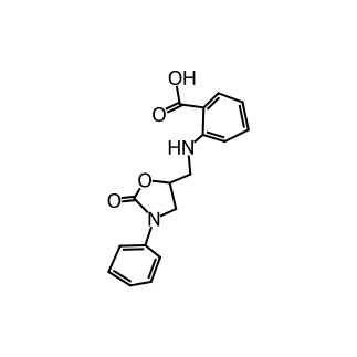 O=C(O)c1ccccc1NCC1CN(c2ccccc2)C(=O)O1